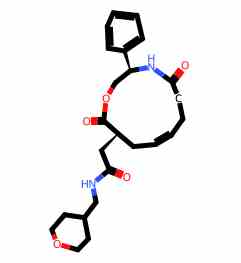 O=C(C[C@@H]1CC=CCCC(=O)N[C@H](c2ccccc2)COC1=O)NCC1CCOCC1